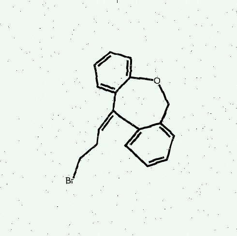 BrCC/C=C1\c2ccccc2COc2ccccc21